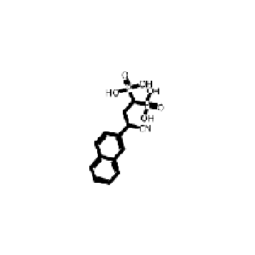 N#CC(CC(P(=O)(O)O)P(=O)(O)O)c1ccc2ccccc2c1